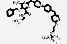 Cc1nc(CC2CCN(c3ccc(Cc4ccc(OCCO[Si](C)(C)C(C)(C)C)nc4)cc3)CC2)nc(C(=O)NCC(=O)O)c1OCc1ccccc1